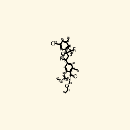 CCOCN(C(=O)c1ccc(C2=NOC(c3cc(C)cc(Cl)c3)(C(F)(F)F)C2)cc1C)C(=S)OC